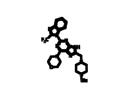 CC(C)(C)N1CCN(Cc2nc3c(N4CCOCC4)nc(-n4c(C(F)(F)F)nc5ccccc54)nc3[nH]2)CC1